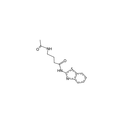 CC(=O)NCCCC(=O)Nc1nc2ccccc2s1